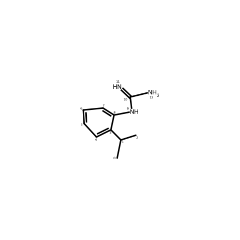 CC(C)c1ccccc1NC(=N)N